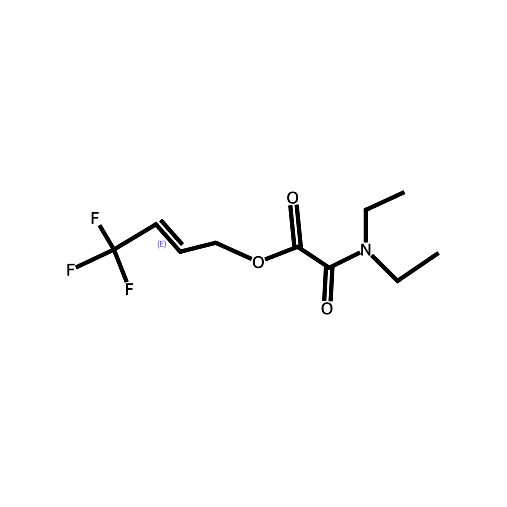 CCN(CC)C(=O)C(=O)OC/C=C/C(F)(F)F